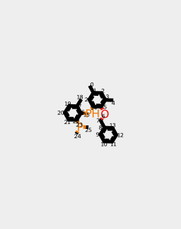 Cc1cc(C)c(OCc2ccccc2)c(Pc2c(C)cccc2P(C)C)c1